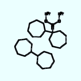 C1CCCC(C2CCCCCC2)CC1.CCCO[SiH](OCCC)C1(C2CCCCCC2)CCCCCC1